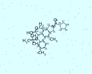 Cc1ccc(-c2c(C)c3c(c(C)c2[C@H](OC(C)(C)C)C(=O)O)CN(C(=O)C2CCCC2)C3)cc1